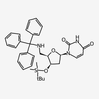 CC(C)(C)[Si](C)(C)O[C@@H]1C[C@H](n2ccc(=O)[nH]c2=O)O[C@@H]1CNC(c1ccccc1)(c1ccccc1)c1ccccc1